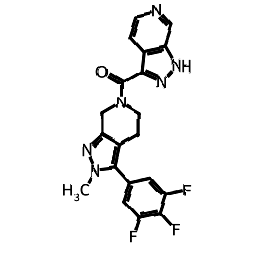 Cn1nc2c(c1-c1cc(F)c(F)c(F)c1)CCN(C(=O)c1n[nH]c3cnccc13)C2